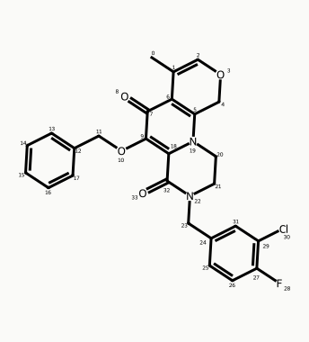 CC1=COCc2c1c(=O)c(OCc1ccccc1)c1n2CCN(Cc2ccc(F)c(Cl)c2)C1=O